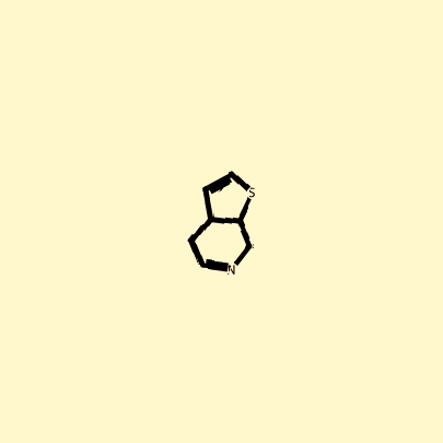 [C]1N=CCC2C=CSC12